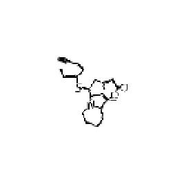 C#C/C=C\C(=C/C)SC1C/C(C)=C/C(=O)OC2(C)CC1N1CCCCC12